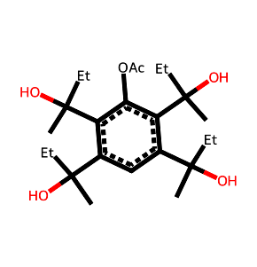 CCC(C)(O)c1cc(C(C)(O)CC)c(C(C)(O)CC)c(OC(C)=O)c1C(C)(O)CC